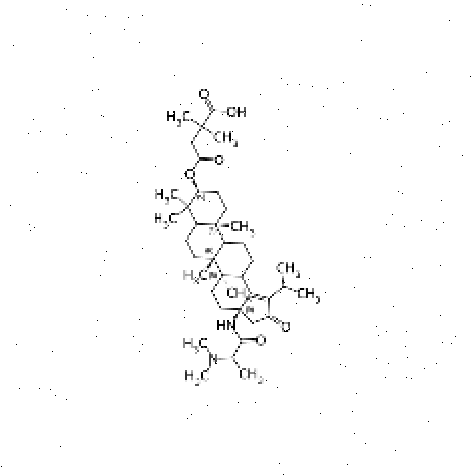 CC(C)C1=C2C3CCC4[C@@]5(C)CC[C@H](OC(=O)CC(C)(C)C(=O)O)C(C)(C)C5CC[C@@]4(C)[C@]3(C)CC[C@@]2(NC(=O)C(C)N(C)C)CC1=O